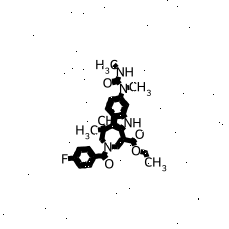 CCOC(=O)C1=CN(C(=O)c2ccc(F)cc2)CC(C)(C)c2c1[nH]c1cc(N(C)C(=O)NC)ccc21